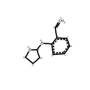 C=Cc1ccccc1OC1CCCO1